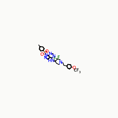 Cc1ccc(S(=O)(=O)n2ncc3c(N[C@@H]4CCN(CCc5ccc(OC(F)(F)F)cc5)CC4(F)F)ncnc32)cc1